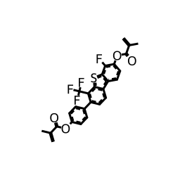 C=C(C)C(=O)Oc1ccc(-c2ccc3c(sc4c(F)c(OC(=O)C(=C)C)ccc43)c2C(F)(F)F)cc1